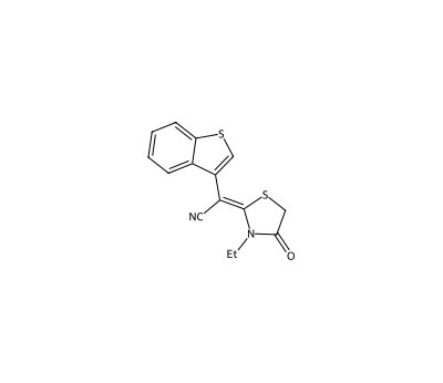 CCN1C(=O)CS/C1=C(/C#N)c1csc2ccccc12